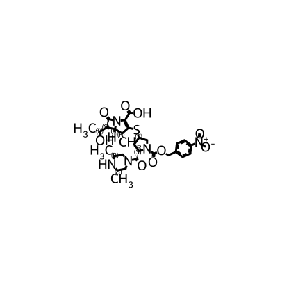 C[C@@H]1CN(C(=O)[C@@H]2C[C@H](SC3=C(C(=O)O)N4C(=O)[C@H]([C@@H](C)O)[C@H]4[C@H]3C)CN2C(=O)OCc2ccc([N+](=O)[O-])cc2)C[C@H](C)N1